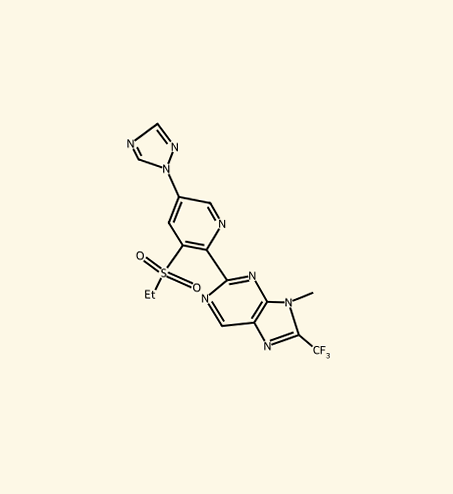 CCS(=O)(=O)c1cc(-n2cncn2)cnc1-c1ncc2nc(C(F)(F)F)n(C)c2n1